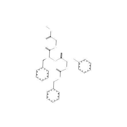 C[C@H](NC(=O)[C@H](Cc1ccccc1)NC(=O)[C@H](Cc1ccccc1)NC(=O)OCc1ccccc1)C(=O)OC(C)(C)C